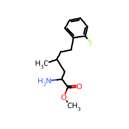 COC(=O)C(N)CC(C)CCc1ccccc1F